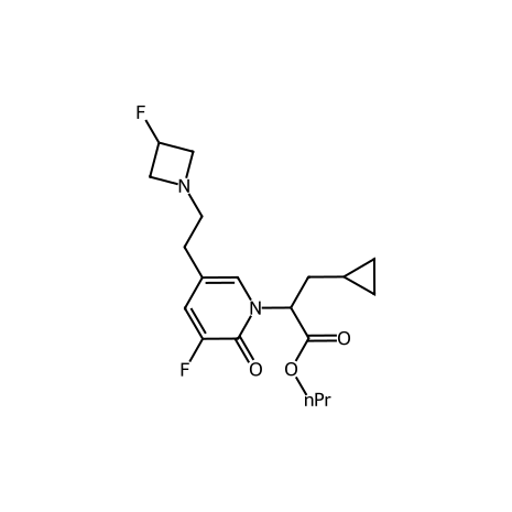 CCCOC(=O)C(CC1CC1)n1cc(CCN2CC(F)C2)cc(F)c1=O